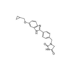 O=C1CN(Cc2ccc(-c3nc4ccc(OCC5CC5)cc4[nH]3)cc2)C(=O)N1